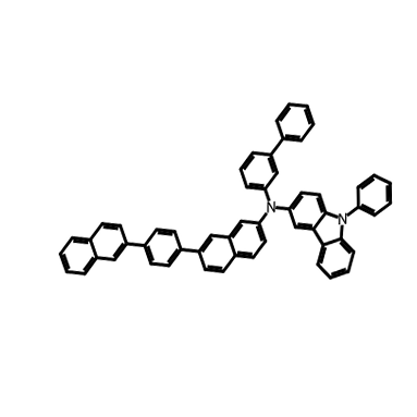 c1ccc(-c2cccc(N(c3ccc4ccc(-c5ccc(-c6ccc7ccccc7c6)cc5)cc4c3)c3ccc4c(c3)c3ccccc3n4-c3ccccc3)c2)cc1